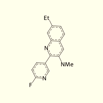 CCc1ccc2cc(NC)c(-c3ccc(F)nc3)nc2c1